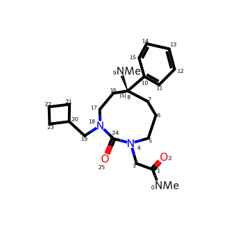 CNC(=O)CN1CCC[C@@](NC)(c2ccccc2)CCN(CC2CCC2)C1=O